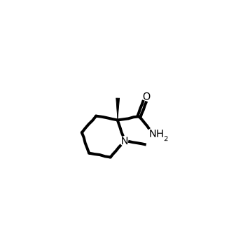 CN1CCCC[C@]1(C)C(N)=O